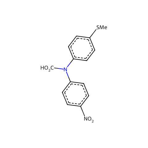 CSc1ccc(N(C(=O)O)c2ccc([N+](=O)[O-])cc2)cc1